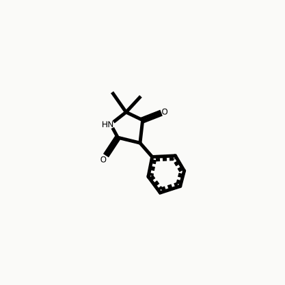 CC1(C)NC(=O)C(c2ccccc2)C1=O